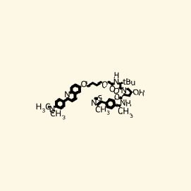 Cc1ncsc1-c1ccc([C@H](C)NC(=O)[C@@H]2C[C@@H](O)CN2C(=O)C(NC(=O)COCCCCOc2ccc3nc(-c4ccc(N(C)C)cc4)ccc3c2)C(C)(C)C)cc1